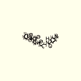 CC(CCNC(=O)c1ccc(N(C)C)cc1)CC(=O)N1CCC2C1C(=O)CN2S(=O)(=O)c1ccccc1